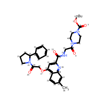 CCCCOC(=O)N1CCN(C(=O)CNC(=O)c2cc(OCC(=O)N3CCCC3c3ccccc3)c3ccc(C)cc3n2)CC1